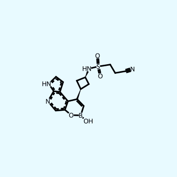 N#CCCS(=O)(=O)N[C@H]1C[C@@H](C2=CB(O)Oc3cnc4[nH]ccc4c32)C1